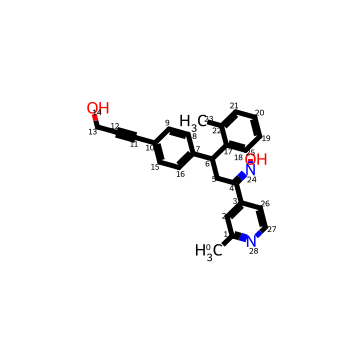 Cc1cc(/C(CC(c2ccc(C#CCO)cc2)c2ccccc2C)=N/O)ccn1